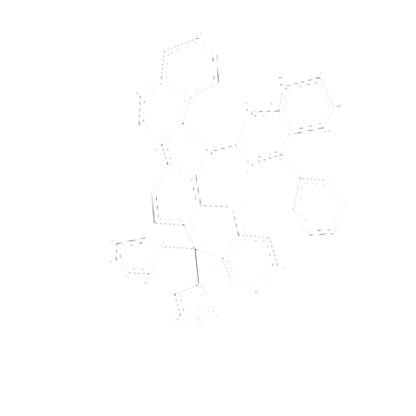 c1ccc(-c2nc(-n3c4c5c(ccc4c4ccc6ccccc6c43)C3(c4ccccc4S5)c4ccccc4-c4ccccc43)nc3ncccc23)cc1